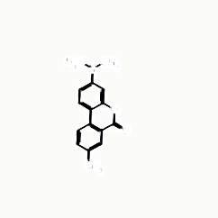 Cc1ccc2c(c1)c(=O)oc1cc(N(C)C)ccc12